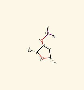 CC[C@H]1O[C@@H](C)CC1OP(C)C